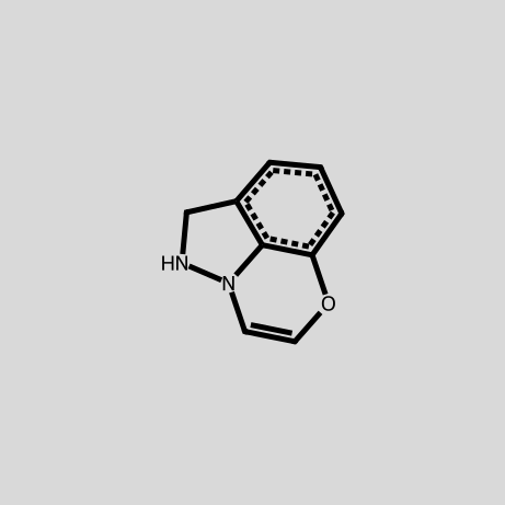 C1=CN2NCc3cccc(c32)O1